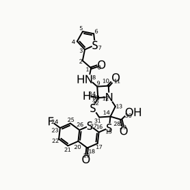 O=C(Cc1cccs1)NC1C(=O)N2CC(Sc3cc(=O)c4ccc(F)cc4s3)(C(=O)O)CS[C@H]12